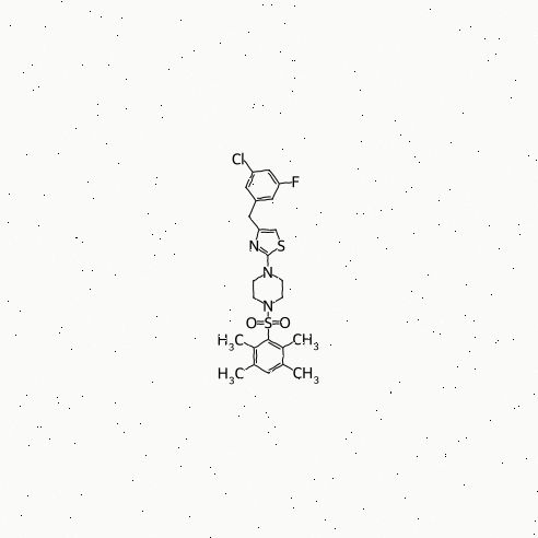 Cc1cc(C)c(C)c(S(=O)(=O)N2CCN(c3nc(Cc4cc(F)cc(Cl)c4)cs3)CC2)c1C